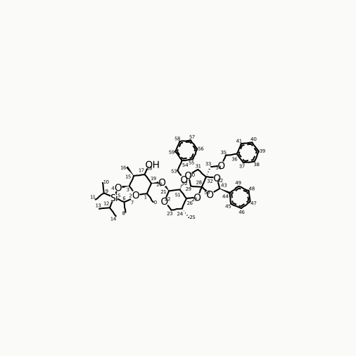 CC1O[C@@H](O[Si](C(C)C)(C(C)C)C(C)C)[C@@H](C)C(O)[C@H]1O[C@@H]1OC[C@@H](C)C(OC23COC[C@@]2(COCc2ccccc2)O[C@@H](c2ccccc2)O3)[C@H]1OCc1ccccc1